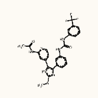 CSc1nc(-c2cccc(NC(=O)Nc3cccc(C(F)(F)F)c3)c2)c(-c2ccnc(NC(C)=O)c2)[nH]1